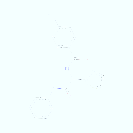 O=C(NC(C(=O)Nc1ccccc1)c1cccs1)c1ccc(C(F)(F)F)cc1